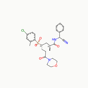 Cc1cc(Cl)ccc1S(=O)(=O)[C@@H](CCC(=O)N1CCOCC1)C[C@H](C)C(=O)NC(C#N)c1ccccc1